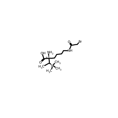 CC([C@@](N)(CCCCNC(=O)CBr)C(=O)O)[Si](C)(C)C